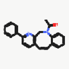 CC(=O)N1Cc2nc(-c3ccccc3)ccc2C=Cc2ccccc21